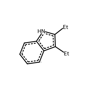 CCc1[nH]c2ccc[c]c2c1CC